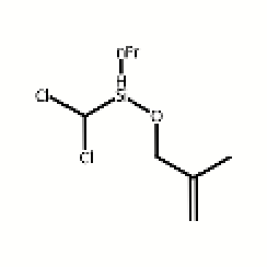 C=C(C)CO[SiH](CCC)C(Cl)Cl